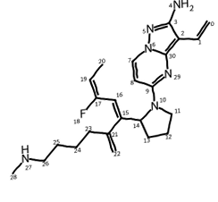 C=Cc1c(N)nn2ccc(N3CCCC3/C(=C/C(F)=C\C)C(=C)CCCCNC)nc12